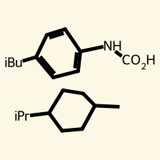 CC1CCC(C(C)C)CC1.CCC(C)c1ccc(NC(=O)O)cc1